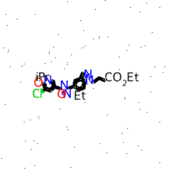 CCOC(=O)CCCn1ncc2cc(-c3noc(-c4cnc(OC(C)C)c(Cl)c4)n3)c(CC)cc21